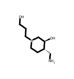 NC[C@@H]1CCN(CCCO)C[C@H]1O